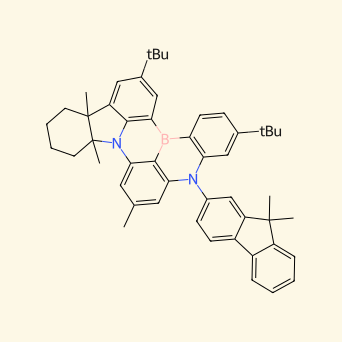 Cc1cc2c3c(c1)N1c4c(cc(C(C)(C)C)cc4C4(C)CCCCC14C)B3c1ccc(C(C)(C)C)cc1N2c1ccc2c(c1)C(C)(C)c1ccccc1-2